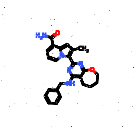 Cc1cc2c(C(N)=O)cccn2c1-c1nc(NCc2ccccc2)c2c(n1)OCCCC2